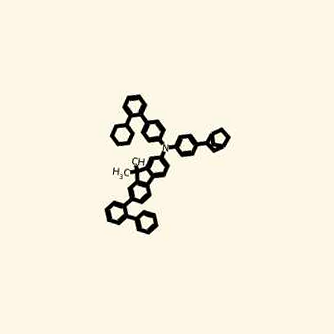 CC1(C)c2cc(-c3ccccc3-c3ccccc3)ccc2-c2ccc(N(c3ccc(-c4ccccc4C4CCCCC4)cc3)c3ccc(C4CC5CCC4C5)cc3)cc21